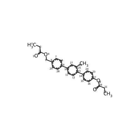 CCC(=O)OCc1ccc(-c2ccc(-c3ccc(OC(=O)CC)cc3)c(C)c2)cc1